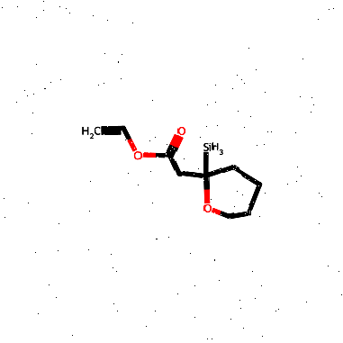 C=COC(=O)CC1([SiH3])CCCCO1